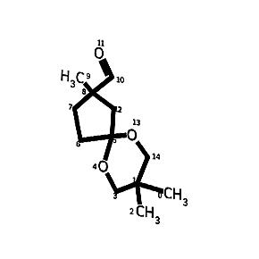 CC1(C)COC2(CCC(C)(C=O)C2)OC1